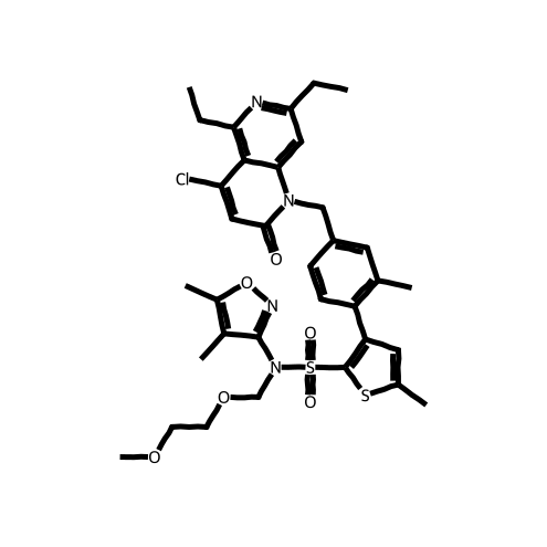 CCc1cc2c(c(Cl)cc(=O)n2Cc2ccc(-c3cc(C)sc3S(=O)(=O)N(COCCOC)c3noc(C)c3C)c(C)c2)c(CC)n1